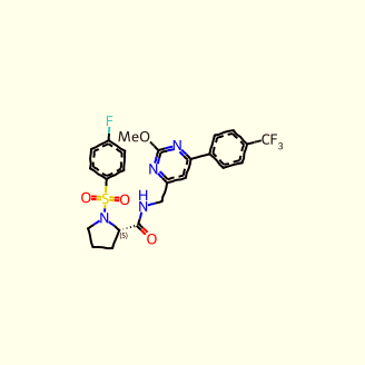 COc1nc(CNC(=O)[C@@H]2CCCN2S(=O)(=O)c2ccc(F)cc2)cc(-c2ccc(C(F)(F)F)cc2)n1